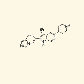 CC(C)c1c(-c2ccc3cncn3c2)[nH]c2ccc(C3CCNCC3)cc12